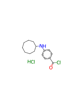 Cl.O=C(Cl)c1ccc(NC2CCCCCCC2)cc1